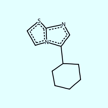 c1cn2c(C3CCCCC3)cnc2s1